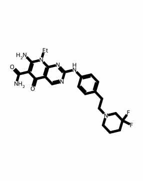 CCn1c(N)c(C(N)=O)c(=O)c2cnc(Nc3ccc(CCN4CCCC(F)(F)C4)cc3)nc21